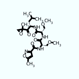 COC[C@H](NC(=O)c1cc(C)on1)C(=O)N[C@@H](COC)C(=O)N[C@@H](CC(C)C)C(=O)C1(C)CO1